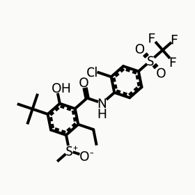 CCc1c([S+](C)[O-])cc(C(C)(C)C)c(O)c1C(=O)Nc1ccc(S(=O)(=O)C(F)(F)F)cc1Cl